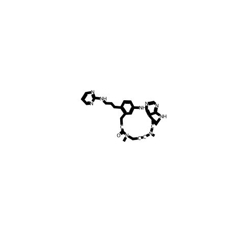 CN1CCCN(C)C(=O)CCc2cc(ccc2CCCNc2ncccn2)Nc2ncnc3[nH]cc(c23)C1